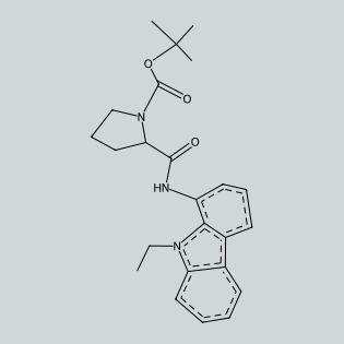 CCn1c2ccccc2c2cccc(NC(=O)C3CCCN3C(=O)OC(C)(C)C)c21